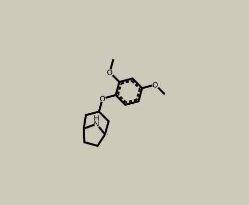 COc1ccc(OC2C[C]3CCC(C2)N3)c(OC)c1